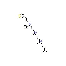 CC/C(=C\CCc1ccsc1)CC/C=C(\C)CC/C=C(\C)CCC=C(C)C